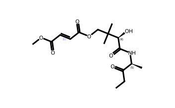 CCC(=O)[C@H](C)NC(=O)[C@H](O)C(C)(C)COC(=O)/C=C/C(=O)OC